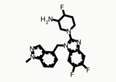 Cn1ncc2c(Cn3c(N4CCC(F)C(N)C4)nc4cc(F)c(F)cc43)cccc21